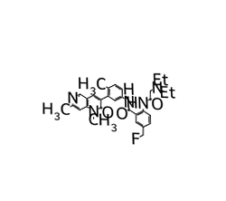 CCN(CC)CC(=O)Nc1ccc(CF)cc1C(=O)Nc1ccc(C)c(-c2cc3cnc(C)cc3n(C)c2=O)c1